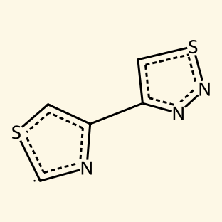 [c]1nc(-c2csnn2)cs1